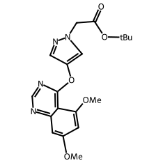 COc1cc(OC)c2c(Oc3cnn(CC(=O)OC(C)(C)C)c3)ncnc2c1